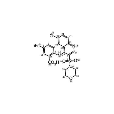 CC(C)c1ccc(Nc2c(S(=O)(=O)N3CCOCC3)cnc3ccc(Cl)cc23)c(C(=O)O)c1